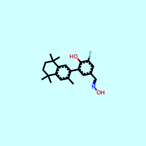 Cc1cc2c(cc1-c1cc(C=NO)cc(F)c1O)C(C)(C)CCC2(C)C